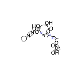 C/C(=C\C=C\C(C)COC(=O)N1CCC[C@@H]1CO)[C@H]1OC(=O)C[C@@H](O)CC[C@](C)(O)[C@@H](OC(=O)N2CCN(C3CCCCCC3)CC2)/C=C/[C@@H]1C